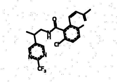 C=C(C)/C=C\c1c(C)ccc(Cl)c1C(=O)NCC(C)c1cnc(C(F)(F)F)nc1